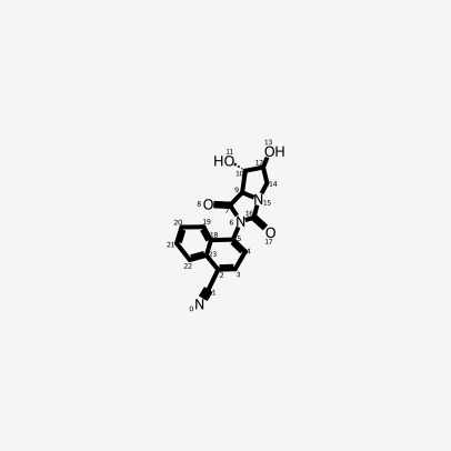 N#Cc1ccc(N2C(=O)C3[C@H](O)C(O)CN3C2=O)c2ccccc12